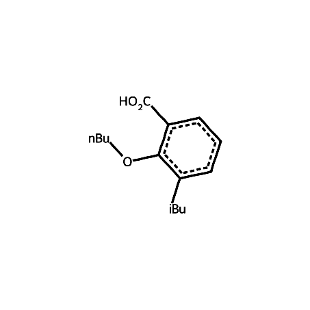 CCCCOc1c(C(=O)O)cccc1C(C)CC